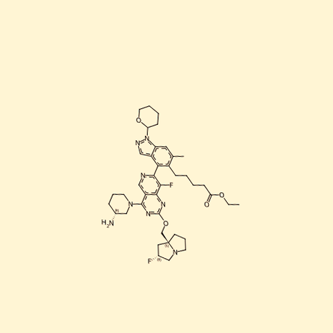 CCOC(=O)CCCCc1c(C)cc2c(cnn2C2CCCCO2)c1-c1ncc2c(N3CCC[C@@H](N)C3)nc(OC[C@@]34CCCN3C[C@H](F)C4)nc2c1F